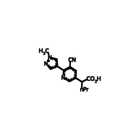 CCCC(C(=O)O)c1cnc(-c2cnn(C)c2)c(C#N)c1